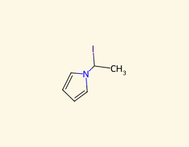 CC(I)n1cccc1